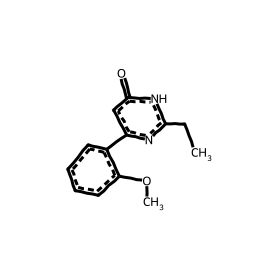 CCc1nc(-c2ccccc2OC)cc(=O)[nH]1